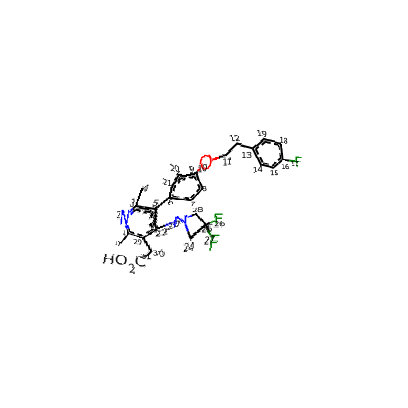 Cc1nc(C)c(-c2ccc(OCCc3ccc(F)cc3)cc2)c(N2CC(F)(F)C2)c1CC(=O)O